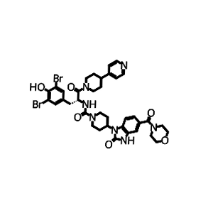 O=C(N[C@H](Cc1cc(Br)c(O)c(Br)c1)C(=O)N1CCC(c2ccncc2)CC1)N1CCC(n2c(=O)[nH]c3cc(C(=O)N4CCOCC4)ccc32)CC1